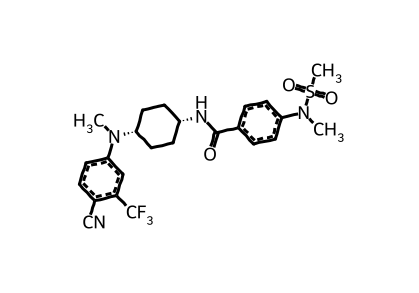 CN(c1ccc(C(=O)N[C@H]2CC[C@@H](N(C)c3ccc(C#N)c(C(F)(F)F)c3)CC2)cc1)S(C)(=O)=O